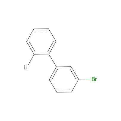 [Li][c]1ccccc1-c1cccc(Br)c1